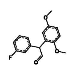 COc1ccc(OC)c(C(C=O)c2cccc(F)c2)c1